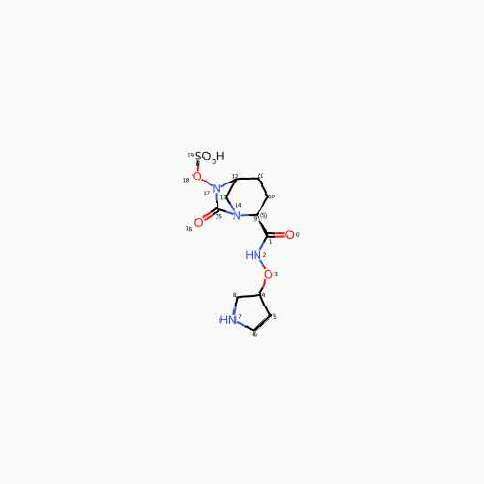 O=C(NOC1CCNC1)[C@@H]1CCC2CN1C(=O)N2OS(=O)(=O)O